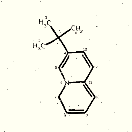 CC(C)(C)C1=CN2CC=CC=C2C=C1